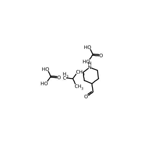 CC(C)C.O=C(O)O.O=C(O)O.O=CC1CCNCC1